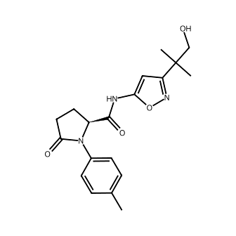 Cc1ccc(N2C(=O)CC[C@H]2C(=O)Nc2cc(C(C)(C)CO)no2)cc1